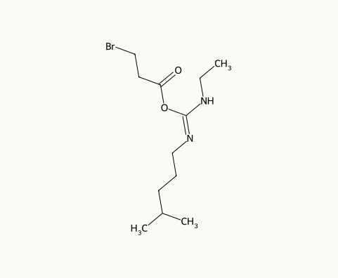 CCN/C(=N/CCCC(C)C)OC(=O)CCBr